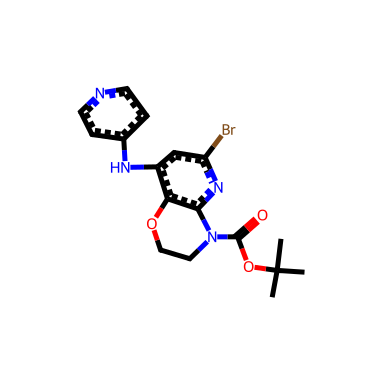 CC(C)(C)OC(=O)N1CCOc2c(Nc3ccncc3)cc(Br)nc21